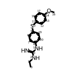 CCNC(=N)Nc1ccc(Sc2ccc(OC)cc2)cc1